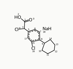 O=C(O)C(Cl)c1ccc(C2CCCCC2)c(Cl)c1.[NaH]